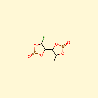 CC1OS(=O)OC1C1OS(=O)OC1F